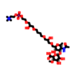 CO[C@@H]1C(C(=O)O)O[C@@H](O[C@@H]2C(NC(C)=O)[C@H](C)OC(COCC(O)COCCCCOCC(O)COCCOP(=O)([O-])OCC[N+](C)(C)C)[C@H]2O)C(O)[C@H]1O